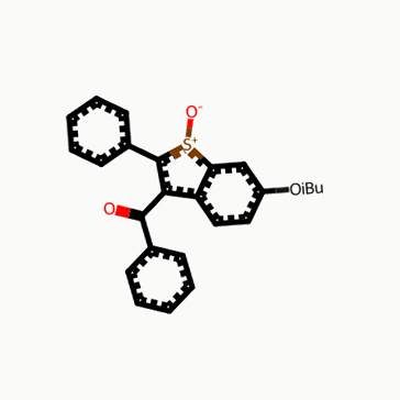 CC(C)COc1ccc2c(C(=O)c3ccccc3)c(-c3ccccc3)[s+]([O-])c2c1